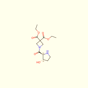 CCOC(=O)C1(C(=O)OCC)CN(C(=O)[C@H]2NCC[C@@H]2O)C1